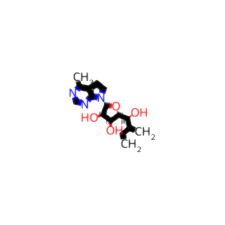 C=CC(=C)[C@@H](O)[C@H]1O[C@@H](n2ccc3c(C)ncnc32)[C@H](O)[C@@H]1O